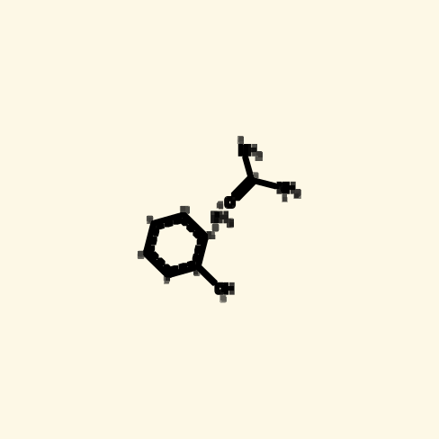 B.NC(N)=O.Oc1ccccc1